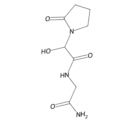 NC(=O)CNC(=O)C(O)N1CCCC1=O